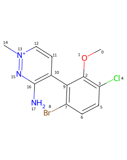 COc1c(Cl)ccc(Br)c1-c1cc[n+](C)nc1N